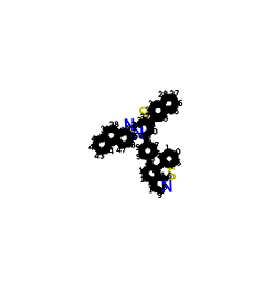 c1ccc2c(c1)Sc1nccc3ccc(-c4ccc(-c5cc6c7cc8ccccc8cc7sc6c6nc7c8ccc9ccccc9c8ccc7n56)cc4)c-2c13